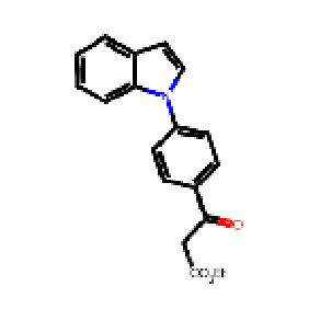 CCOC(=O)CC(=O)c1ccc(-n2ccc3ccccc32)cc1